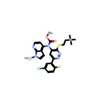 CC(C)(C)OC(=O)N(c1cc(-c2cc(Cl)ccc2F)nnc1SCC[Si](C)(C)C)c1ccnc2c1ccn2C(=O)O